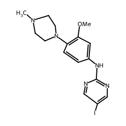 COc1cc(Nc2ncc(I)cn2)ccc1N1CCN(C)CC1